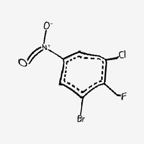 O=[N+]([O-])c1cc(Cl)c(F)c(Br)c1